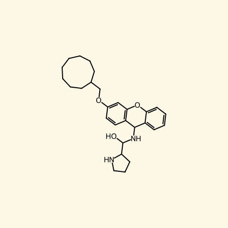 OC(NC1c2ccccc2Oc2cc(OCC3CCCCCCCC3)ccc21)C1CCCN1